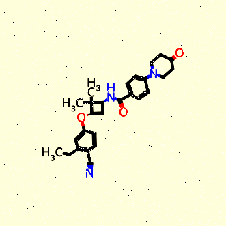 CCc1cc(O[C@H]2C[C@H](NC(=O)c3ccc(N4CCC(=O)CC4)cc3)C2(C)C)ccc1C#N